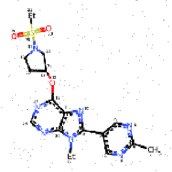 CCn1c(-c2cnc(C)nc2)nc2c(O[C@H]3CCN(S(=O)(=O)CC)C3)ncnc21